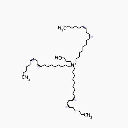 CCCCC/C=C\C/C=C\CCCCCCCC[N+](CCCO)(CCCCCCCC/C=C\C/C=C\CCCCC)CCCCCCCC/C=C\C/C=C\CCCCC